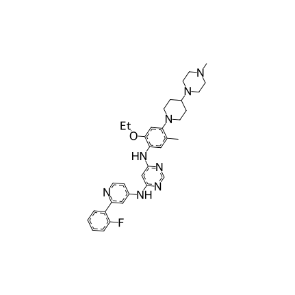 CCOc1cc(N2CCC(N3CCN(C)CC3)CC2)c(C)cc1Nc1cc(Nc2ccnc(-c3ccccc3F)c2)ncn1